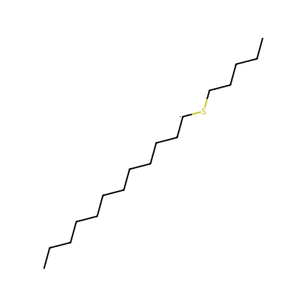 CCCCCCCCCCC[CH]SCCCCC